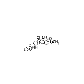 COC(=O)c1ccc(Cn2cc(Cl)c3ccc(NC(=O)OC4CCCC4)cc32)c(OC)c1